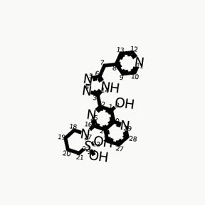 Oc1c(-c2nnc(Cc3ccncc3)[nH]2)nc(N2CCCCS2(O)O)c2cccnc12